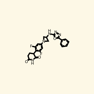 O=C1CCC(c2c(F)cc(N3CC(Nc4nnc(-c5ccccc5)o4)C3)cc2F)C(=O)N1